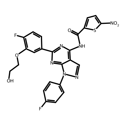 O=C(Nc1nc(-c2ccc(F)c(OCCO)c2)nc2c1cnn2-c1ccc(F)cc1)c1ccc([N+](=O)[O-])s1